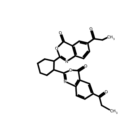 CCC(=O)c1ccc2nc(C3CCCCC3c3nc4ccc(C(=O)CC)cc4c(=O)o3)oc(=O)c2c1